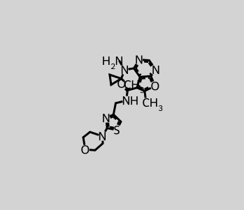 Cc1oc2ncnc(N(N)C3(C)CC3)c2c1C(=O)NCc1csc(N2CCOCC2)n1